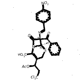 CC(=O)OC(CC(Cl)(Cl)Cl)C1=C(C(=O)O)N2C(=O)[C@](N=Cc3ccc([N+](=O)[O-])cc3)(C(=O)c3ccccc3)[C@H]2SC1